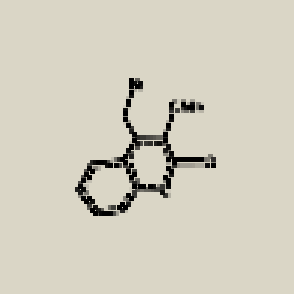 COc1c(CBr)c2ccccc2oc1=O